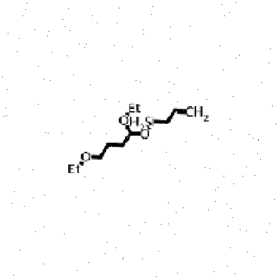 C=CC[SiH2]OC(CCCOCC)OCC